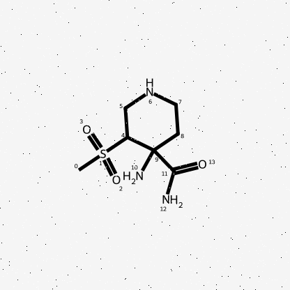 CS(=O)(=O)C1CNCCC1(N)C(N)=O